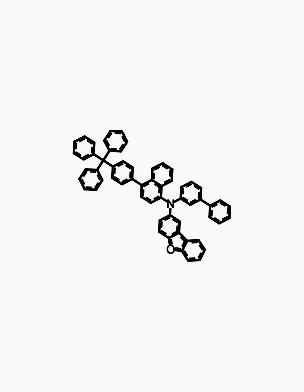 c1ccc(-c2cccc(N(c3ccc4oc5ccccc5c4c3)c3ccc(-c4ccc(C(c5ccccc5)(c5ccccc5)c5ccccc5)cc4)c4ccccc34)c2)cc1